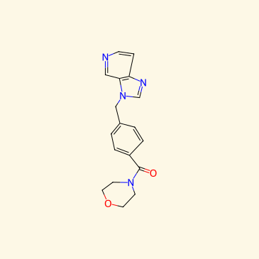 O=C(c1ccc(Cn2cnc3ccncc32)cc1)N1CCOCC1